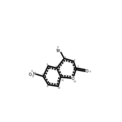 O=c1cc(Br)c2cc([N+](=O)[O-])ccc2o1